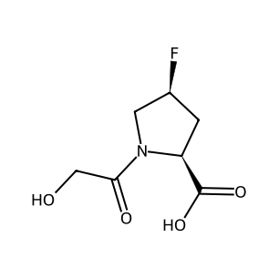 O=C(O)[C@@H]1C[C@H](F)CN1C(=O)CO